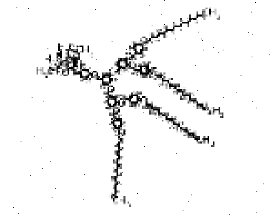 CCCCCCCCCCCCCCCCOc1ccc(COc2ccc(COc3cc(COc4ccc(CC(NC(=O)OC(C)(C)C)C(=O)NC(C)C(=O)OC)cc4)cc(OCc4ccc(OCc5ccc(OCCCCCCCCCCCCCCCC)cc5)c(OCc5ccc(OCCCCCCCCCCCCCCCC)cc5)c4)c3)cc2OCc2ccc(OCCCCCCCCCCCCCCCC)cc2)cc1